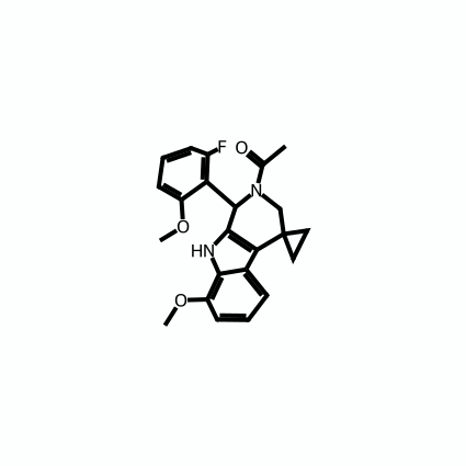 COc1cccc(F)c1C1c2[nH]c3c(OC)cccc3c2C2(CC2)CN1C(C)=O